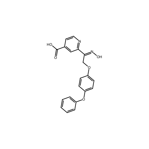 O=C(O)c1ccnc(/C(COc2ccc(Oc3ccccc3)cc2)=N/O)c1